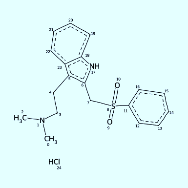 CN(C)CCc1c(CS(=O)(=O)c2ccccc2)[nH]c2ccccc12.Cl